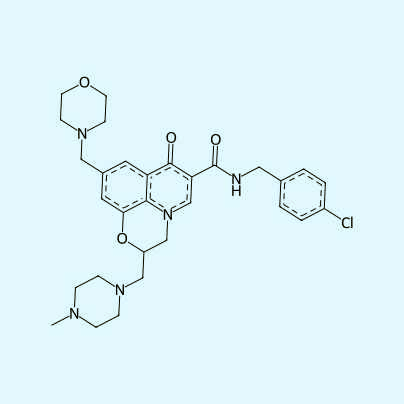 CN1CCN(CC2Cn3cc(C(=O)NCc4ccc(Cl)cc4)c(=O)c4cc(CN5CCOCC5)cc(c43)O2)CC1